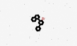 Brc1ccc(-c2ccccc2)cc1-c1cccc2ccccc12